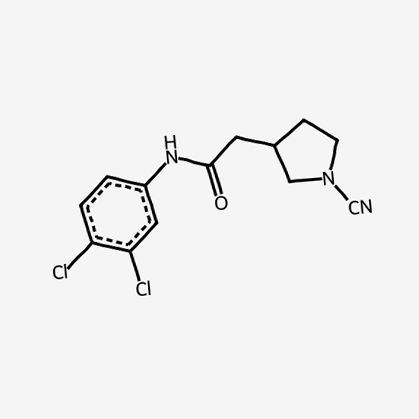 N#CN1CCC(CC(=O)Nc2ccc(Cl)c(Cl)c2)C1